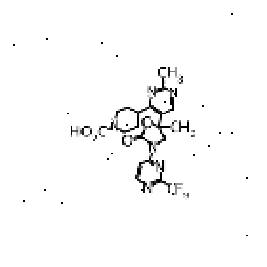 Cc1ncc(C2(C)CN(c3ccnc(C(F)(F)F)n3)C(=O)O2)c(C2CCN(C(=O)O)CC2)n1